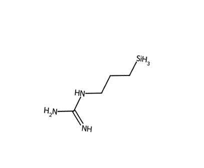 N=C(N)NCCC[SiH3]